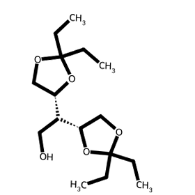 CCC1(CC)OC[C@@H](C(CO)[C@@H]2COC(CC)(CC)O2)O1